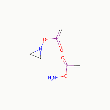 C=P(=O)ON.C=P(=O)ON1CC1